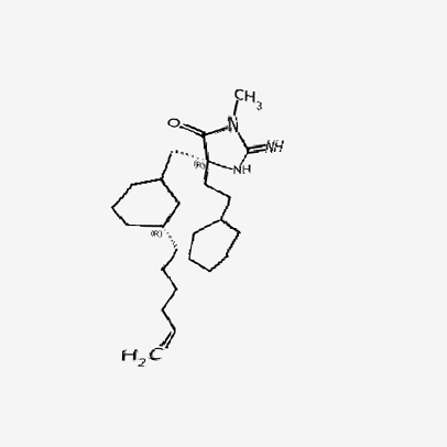 C=CCCCC[C@@H]1CCCC(C[C@@]2(CCC3CCCCC3)NC(=N)N(C)C2=O)C1